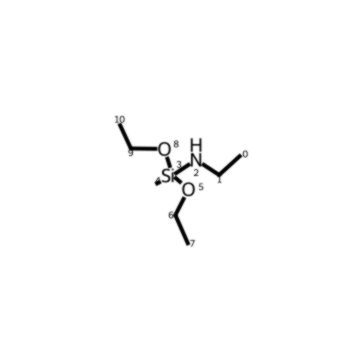 CCN[Si](C)(OCC)OCC